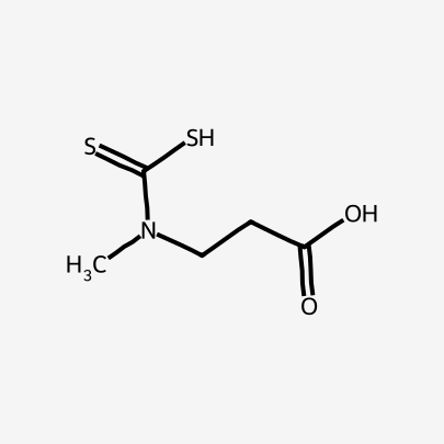 CN(CCC(=O)O)C(=S)S